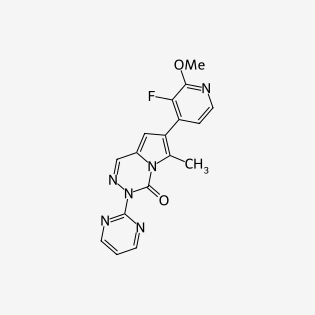 COc1nccc(-c2cc3cnn(-c4ncccn4)c(=O)n3c2C)c1F